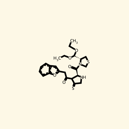 CCOC(OCC)[C@@H]1CSCN1C(=O)[C@H]1NCC(=S)C1C(=O)Cc1cc2ccccc2o1